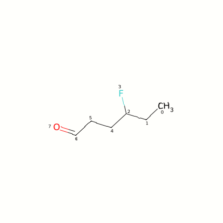 CCC(F)CCC=O